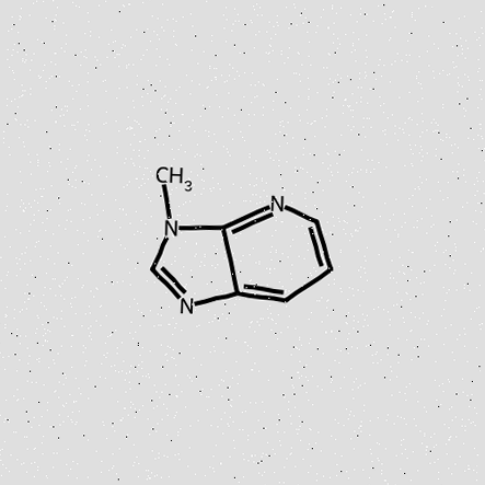 Cn1cnc2cccnc21